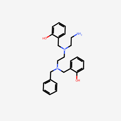 NCCN(CCN(Cc1ccccc1)Cc1ccccc1O)Cc1ccccc1O